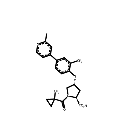 Cc1cc(-c2ccc(S[C@@H]3C[C@@H](C(=O)O)N(C(=O)C4(C(F)(F)F)CC4)C3)c(C(F)(F)F)c2)ccn1